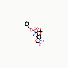 CC1(C)Oc2cc3c(cc2C(NC(=O)OCCc2ccccc2)C1O)OCC(=O)N3